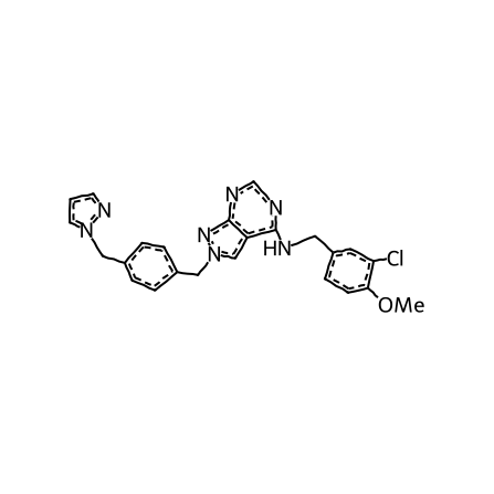 COc1ccc(CNc2ncnc3nn(Cc4ccc(Cn5cccn5)cc4)cc23)cc1Cl